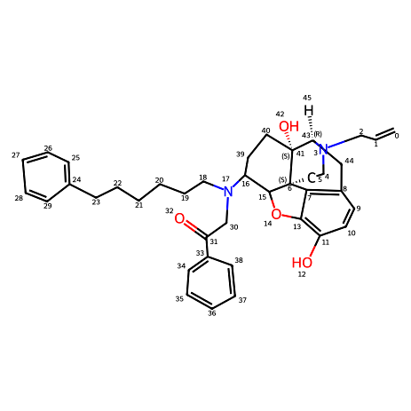 C=CCN1CC[C@]23c4c5ccc(O)c4OC2C(N(CCCCCCc2ccccc2)CC(=O)c2ccccc2)CC[C@@]3(O)[C@H]1C5